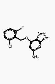 Nc1cc(OCc2c(F)cccc2Cl)c2nn[nH]c2n1